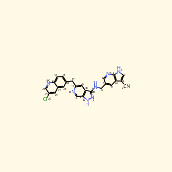 N#Cc1c[nH]c2ncc(CNc3n[nH]c4cnc(Cc5ccc6ncc(Cl)cc6c5)cc34)cc12